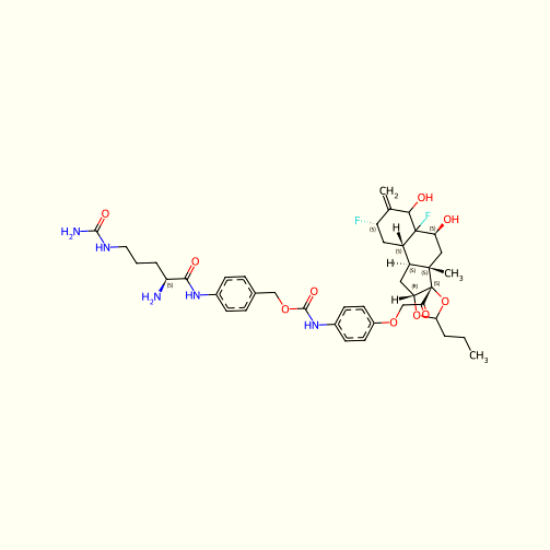 C=C1C(O)C2(F)[C@@H](O)C[C@@]3(C)[C@@H](C[C@H]4OC(CCC)O[C@]43C(=O)COc3ccc(NC(=O)OCc4ccc(NC(=O)[C@@H](N)CCCNC(N)=O)cc4)cc3)[C@@H]2C[C@@H]1F